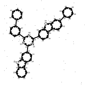 c1ccc(-c2cccc(-c3nc(-c4ccc5c(c4)oc4ccccc45)nc(-c4ccc5c(c4)oc4cc(-c6ccccc6)ccc45)n3)c2)cc1